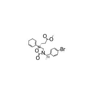 COC(=O)CC[C@]1(C2=CCCC=C2)CN([C@@H](C)c2ccc(Br)cc2)C(=O)O1